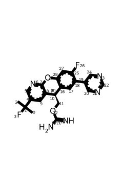 CC(C)(F)c1cnc2c(c1)[C@H](COC(=N)N)c1cc(-c3cncnc3)c(F)cc1O2